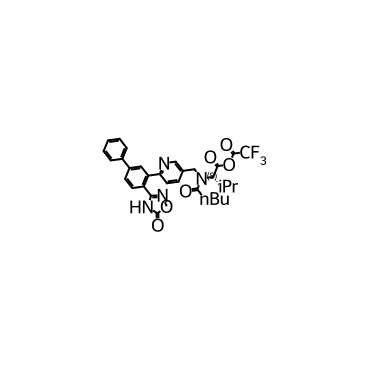 CCCCC(=O)N(Cc1ccc(-c2cc(-c3ccccc3)ccc2-c2noc(=O)[nH]2)nc1)[C@H](C(=O)OC(=O)C(F)(F)F)C(C)C